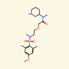 COc1cc(C)c(S(=O)(=O)N(C)CCOCC(=O)N(C)C2CCCNC2)c(C)c1